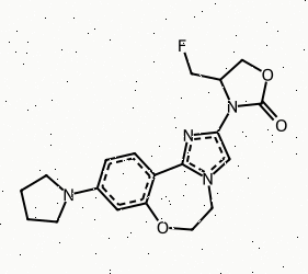 O=C1OCC(CF)N1c1cn2c(n1)-c1ccc(N3CCCC3)cc1OCC2